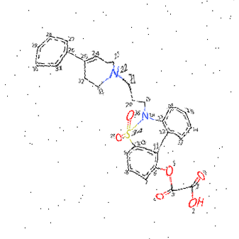 O=C(O)C(=O)Oc1cccc2c1-c1ccccc1N(CCCN1CC=C(c3ccccc3)CC1)S2(=O)=O